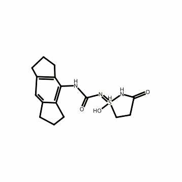 O=C1CC[SH](O)(=NC(=O)Nc2c3c(cc4c2CCC4)CCC3)N1